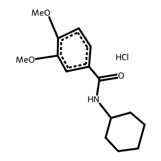 COc1ccc(C(=O)NC2CCCCC2)cc1OC.Cl